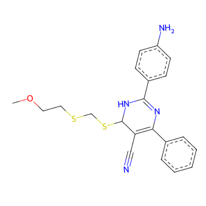 COCCSCSC1NC(c2ccc(N)cc2)=NC(c2ccccc2)=C1C#N